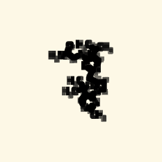 Cc1ncc(C(C)(C)C)c(N2CCC2Cc2ncc(C(C)C)c(NCC(N)=O)n2)n1